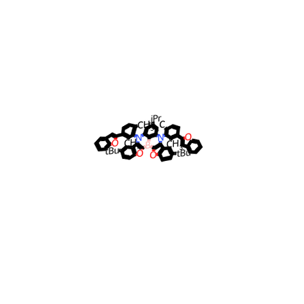 Cc1ccc(-c2cc3ccccc3o2)c(C)c1N1c2cc(C(C)C)cc3c2B(c2oc4ccc(C(C)(C)C)cc4c21)c1oc2ccc(C(C)(C)C)cc2c1N3c1c(C)ccc(-c2cc3ccccc3o2)c1C